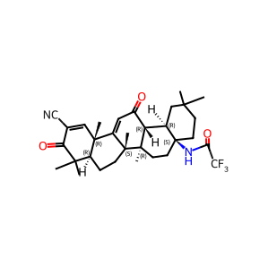 CC1(C)CC[C@]2(NC(=O)C(F)(F)F)CC[C@]3(C)[C@H](C(=O)C=C4[C@@]5(C)C=C(C#N)C(=O)C(C)(C)[C@@H]5CC[C@]43C)[C@H]2C1